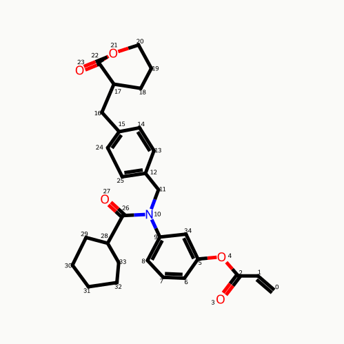 C=CC(=O)Oc1cccc(N(Cc2ccc(CC3CCCOC3=O)cc2)C(=O)C2CCCCC2)c1